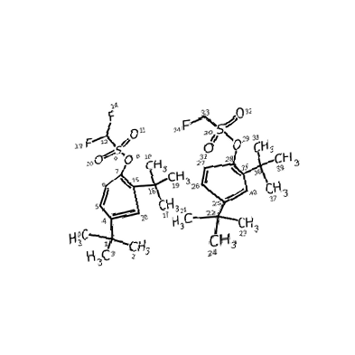 CC(C)(C)c1ccc(OS(=O)(=O)C(F)F)c(C(C)(C)C)c1.CC(C)(C)c1ccc(OS(=O)(=O)CF)c(C(C)(C)C)c1